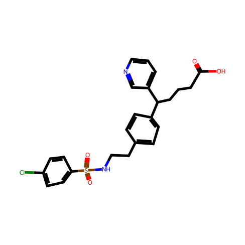 O=C(O)CCCC(c1ccc(CCNS(=O)(=O)c2ccc(Cl)cc2)cc1)c1cccnc1